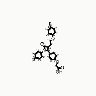 O=C(O)COc1ccc(C2C(CCOc3ccc(F)cc3)C(=O)N2c2ccc(F)cc2)cc1